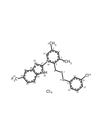 Cc1cc(C)c(CSSc2cccc(Cl)c2)[n+](-c2nc3cc(C(F)(F)F)ccc3[nH]2)c1.[Cl-]